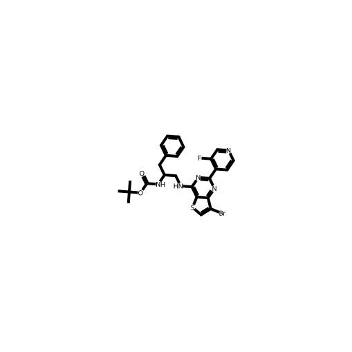 CC(C)(C)OC(=O)NC(CNc1nc(-c2ccncc2F)nc2c(Br)csc12)Cc1ccccc1